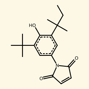 CCC(C)(C)c1cc(N2C(=O)C=CC2=O)cc(C(C)(C)C)c1O